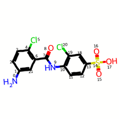 Nc1ccc(Cl)c(C(=O)Nc2ccc(S(=O)(=O)O)cc2Cl)c1